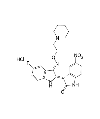 Cl.O=C1Nc2ccc([N+](=O)[O-])cc2/C1=C1/Nc2ccc(F)cc2/C1=N\OCCN1CCCCC1